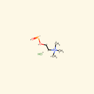 C[N+](C)(C)CCOP=O.Cl